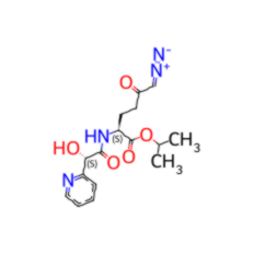 CC(C)OC(=O)[C@H](CCC(=O)C=[N+]=[N-])NC(=O)[C@@H](O)c1ccccn1